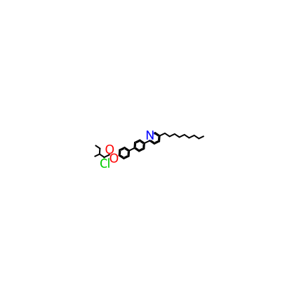 CCCCCCCCCc1ccc(-c2ccc(-c3ccc(OC(=O)C(Cl)C(C)CC)cc3)cc2)nc1